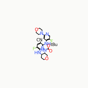 CC(C)(C)OC(=O)N[C@H]1COCC[C@H]1Nc1nc(Nc2cc(N3CCOCC3)ncc2F)c(C#N)cc1F